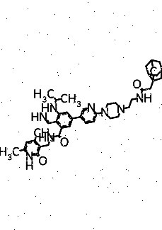 Cc1cc(C)c(CNC(=O)c2cc(-c3ccc(N4CCN(CCNC(=O)CC56CC7CC(CC5C7)C6)CC4)nc3)cc(NC(C)C)c2C=N)c(=O)[nH]1